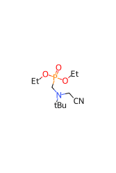 CCOP(=O)(CN(CC#N)C(C)(C)C)OCC